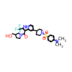 CN(C)c1ccc(S(=O)(=O)N2CCC(c3ccn4nc(C(F)(F)F)c(C(=O)N5CCC(CO)C5)c4c3)CC2)cc1